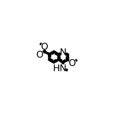 CNc1c(OC)cnc2cc(C(=O)OC)ccc12